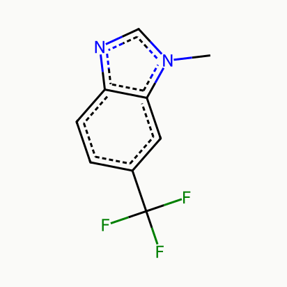 Cn1cnc2ccc(C(F)(F)F)cc21